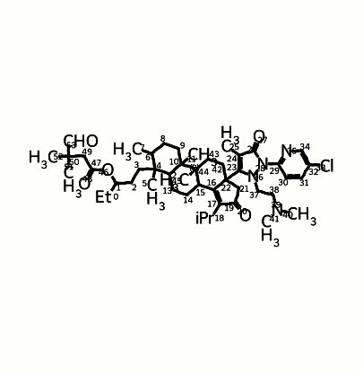 CCC(CCC1(C)C(C)CCC2(C)C1CCC1C3=C(C(C)C)C(=O)CC3(c3c(C)c(=O)n(-c4ccc(Cl)cn4)n3CCN(C)C)CC[C@]12C)OC(=O)CC(C)(C)C=O